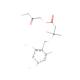 COc1cc(OC)c(CSC(C)(C)CC(=O)OCC(=O)CCl)c(OC)c1